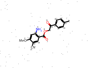 COc1cc(N)c(C(=O)OCC(=O)c2ccc(C)cc2)cc1C#N